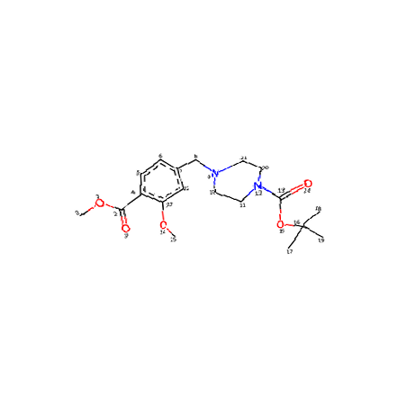 COC(=O)c1ccc(CN2CCN(C(=O)OC(C)(C)C)CC2)cc1OC